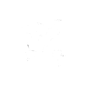 COc1ccc(-c2cccc3c2CNC3=O)c(OCC2(C(=O)O[C@H]3CCOC3)CCC2)c1OC